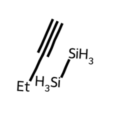 C#CCC.[SiH3][SiH3]